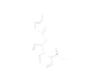 Cc1csc(Cn2ccc3cccc(C(=O)O)c32)n1